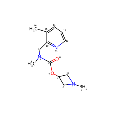 BN1CC(OC(=O)N(C)Cc2ncccc2C)C1